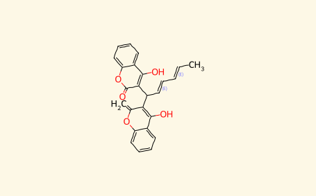 C=C1Oc2ccccc2C(O)=C1C(/C=C/C=C/C)c1c(O)c2ccccc2oc1=O